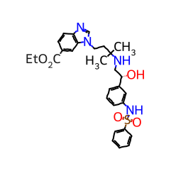 CCOC(=O)c1ccc2ncn(CCC(C)(C)NC[C@H](O)c3cccc(NS(=O)(=O)c4ccccc4)c3)c2c1